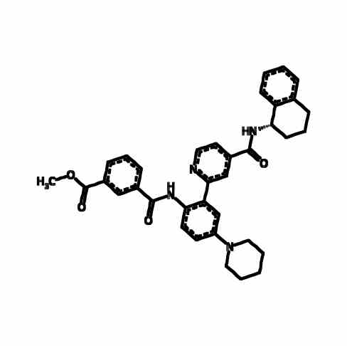 COC(=O)c1cccc(C(=O)Nc2ccc(N3CCCCC3)cc2-c2cc(C(=O)N[C@H]3CCCc4ccccc43)ccn2)c1